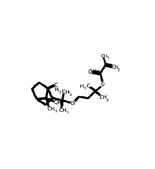 C=C(C)C(=O)OC(C)(C)CCOC(C)(C)C1CC2CCC1(C)C2(C)C